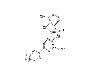 C=CN(/N=C\N)c1cnc(NS(=O)(=O)c2cccc(Cl)c2Cl)c(OC)n1